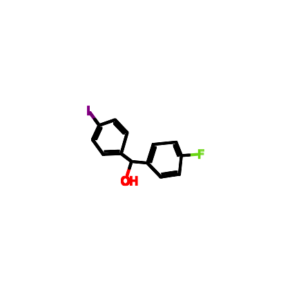 OC(c1ccc(F)cc1)c1ccc(I)cc1